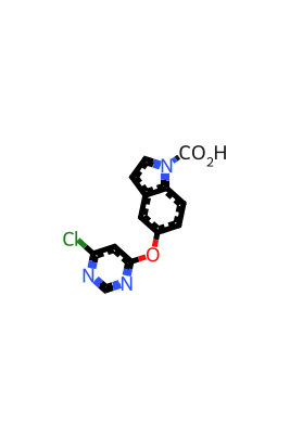 O=C(O)n1ccc2cc(Oc3cc(Cl)ncn3)ccc21